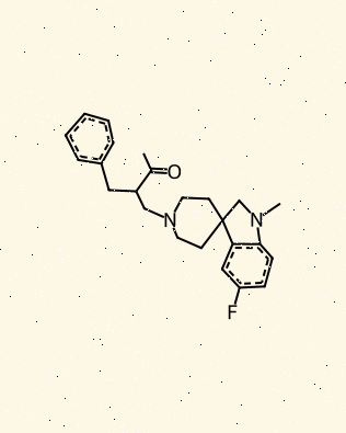 CC(=O)C(Cc1ccccc1)CN1CCC2(CC1)CN(C)c1ccc(F)cc12